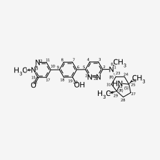 CN(c1ccc(-c2ccc(-c3cnn(C)c(=O)c3)cc2O)nn1)[C@@H]1C[C@]2(C)CC[C@](C)(C1)N2